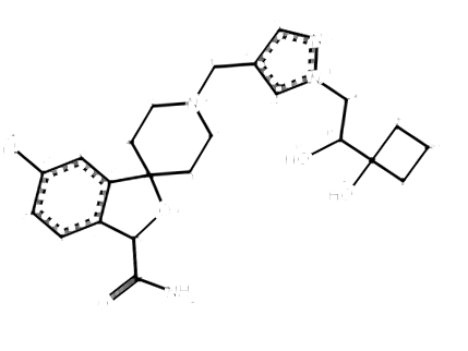 NC(=O)C1OC2(CCN(Cc3cnn(CC(O)C4(O)CCC4)c3)CC2)c2cc(Cl)ccc21